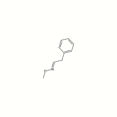 CON=CCc1[c]cccc1